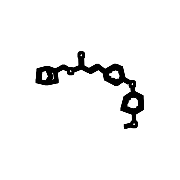 COc1ccc(Oc2ccc(/C=C/C(=O)OCC3CC4C=CC3C4)cc2)cc1